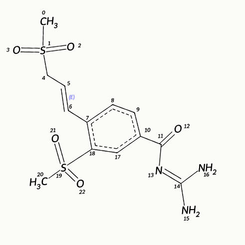 CS(=O)(=O)C/C=C/c1ccc(C(=O)N=C(N)N)cc1S(C)(=O)=O